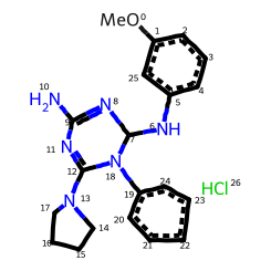 COc1cccc(NC2N=C(N)N=C(N3CCCC3)N2c2ccccc2)c1.Cl